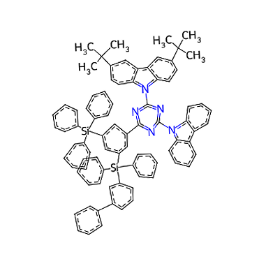 CC(C)(C)c1ccc2c(c1)c1cc(C(C)(C)C)ccc1n2-c1nc(-c2cc([Si](c3ccccc3)(c3ccccc3)c3ccccc3)cc([Si](c3ccccc3)(c3ccccc3)c3cccc(-c4ccccc4)c3)c2)nc(-n2c3ccccc3c3ccccc32)n1